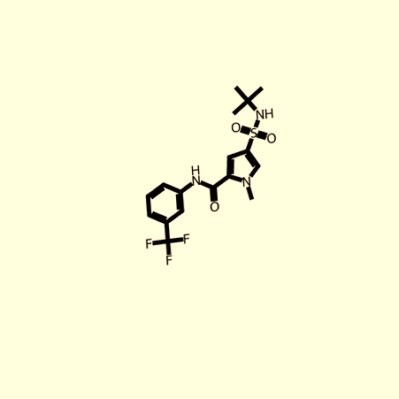 Cn1cc(S(=O)(=O)NC(C)(C)C)cc1C(=O)Nc1cccc(C(F)(F)F)c1